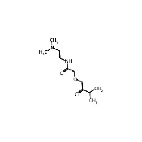 CC(C)C(=O)COCC(=O)NCCN(C)C